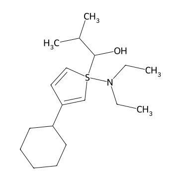 CCN(CC)S1(C(O)C(C)C)C=CC(C2CCCCC2)=C1